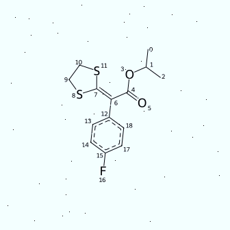 CC(C)OC(=O)C(=C1SCCS1)c1ccc(F)cc1